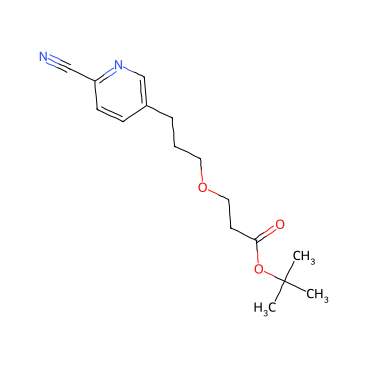 CC(C)(C)OC(=O)CCOCCCc1ccc(C#N)nc1